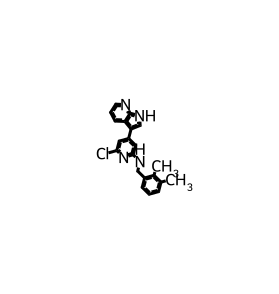 Cc1cccc(CNc2cc(-c3c[nH]c4ncccc34)cc(Cl)n2)c1C